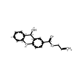 C=CCOC(=O)c1ccc2c(c1)C(O)c1ccccc1O2